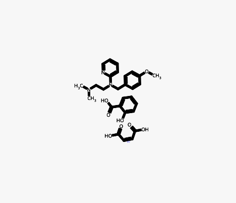 COc1ccc(CN(CCN(C)C)c2ccccn2)cc1.O=C(O)/C=C\C(=O)O.O=C(O)c1ccccc1O